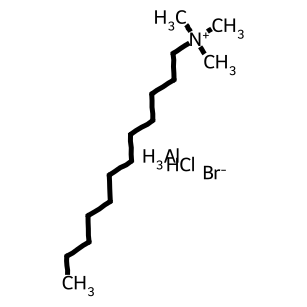 CCCCCCCCCCCC[N+](C)(C)C.Cl.[AlH3].[Br-]